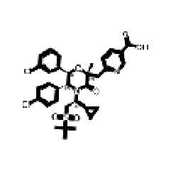 CC(C)(C)S(=O)(=O)C[C@H](C1CC1)N1C(=O)[C@@](C)(Cc2ccc(C(=O)O)cn2)O[C@H](c2cccc(Cl)c2)[C@H]1c1ccc(Cl)cc1